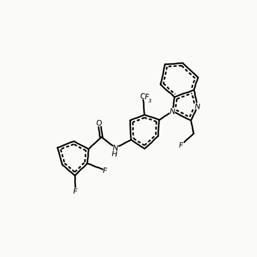 O=C(Nc1ccc(-n2c(CF)nc3ccccc32)c(C(F)(F)F)c1)c1cccc(F)c1F